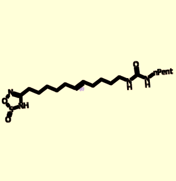 CCCCCNC(=O)NCCCC/C=C/CCCCCC1=NOS(=O)N1